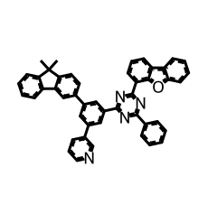 CC1(C)c2ccccc2-c2cc(-c3cc(-c4cccnc4)cc(-c4nc(-c5ccccc5)nc(-c5cccc6c5oc5ccccc56)n4)c3)ccc21